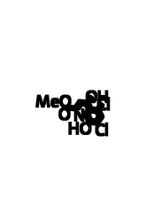 COC(=O)c1cc(O)c2c(Cl)cc(Cl)c(O)c2n1